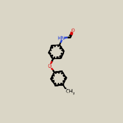 Cc1ccc(Oc2ccc(NC=O)cc2)cc1